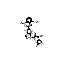 COc1cccc(OC)c1NC(=O)C(=O)N[C@@H](CC(C)C)C(O)N[C@@H](C[C@@H]1CCNC1=O)C(=O)CO